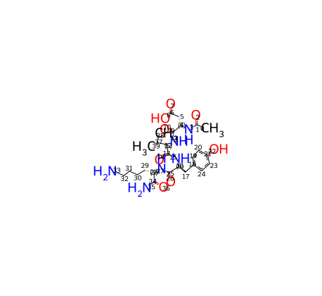 CC(=O)N[C@@H](CC(=O)O)C(=O)N[C@H](C(=O)N[C@@H](Cc1ccc(O)cc1)C(=O)N[C@@H](CCCCN)C(N)=O)C(C)C